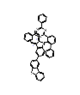 C=C/C=c1\c(=C/C)c2cc(-c3ccc4sc5ccccc5c4c3)ccc2n1-c1c(-c2ccccc2)cccc1-c1nc(-c2ccccc2)nc(-c2ccccc2)n1